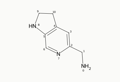 NCc1cc2c(cn1)NCC2